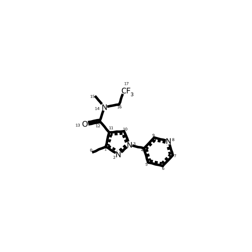 Cc1nn(-c2cccnc2)cc1C(=O)N(C)CC(F)(F)F